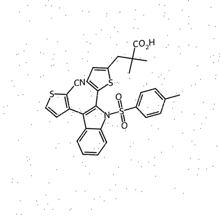 Cc1ccc(S(=O)(=O)n2c(-c3ccc(CC(C)(C)C(=O)O)s3)c(-c3ccsc3C#N)c3ccccc32)cc1